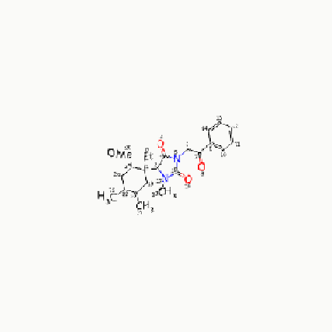 CCC1(C2C(=O)N(CC(=O)c3ccccc3)C(=O)N2C)CC(C)C(C)CC1OC